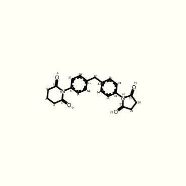 O=C1CCCC(=O)N1c1ccc(Cc2ccc(N3C(=O)CCC3=O)cc2)cc1